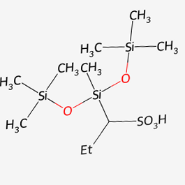 CCC([Si](C)(O[Si](C)(C)C)O[Si](C)(C)C)S(=O)(=O)O